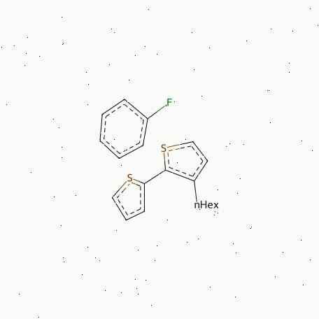 CCCCCCc1ccsc1-c1cccs1.Fc1ccccc1